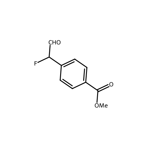 COC(=O)c1ccc(C(F)C=O)cc1